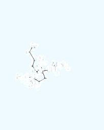 C[Si]1(C)CC[Si](C)(C)N1CCCBr.[MgH2]